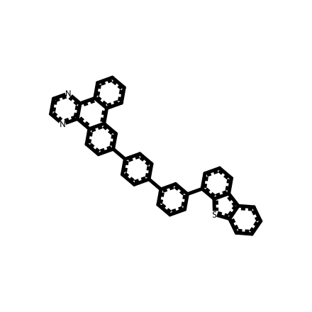 c1cc(-c2ccc(-c3ccc4c(c3)c3ccccc3c3nccnc43)cc2)cc(-c2cccc3c2sc2ccccc23)c1